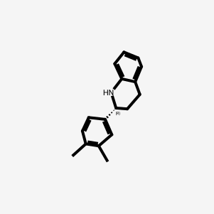 Cc1ccc([C@H]2CCc3ccccc3N2)cc1C